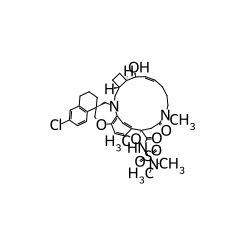 CO[C@@]1(C(=O)NS(=O)(=O)N(C)C)CC(=O)N(C)CCCC=C[C@H](O)[C@@H]2CC[C@H]2CN2C[C@@]3(CCCc4cc(Cl)ccc43)COc3ccc1cc32